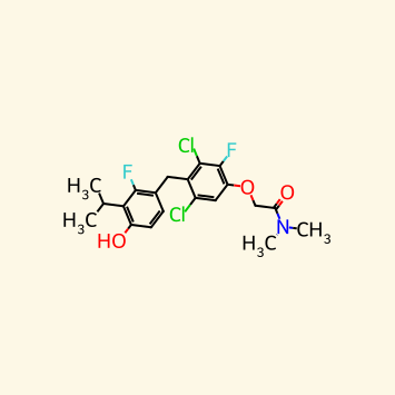 CC(C)c1c(O)ccc(Cc2c(Cl)cc(OCC(=O)N(C)C)c(F)c2Cl)c1F